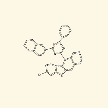 Clc1ccc2c(c1)sc1cc3ccccc3c(-c3nc(-c4ccccc4)nc(-c4ccc5ccccc5c4)n3)c12